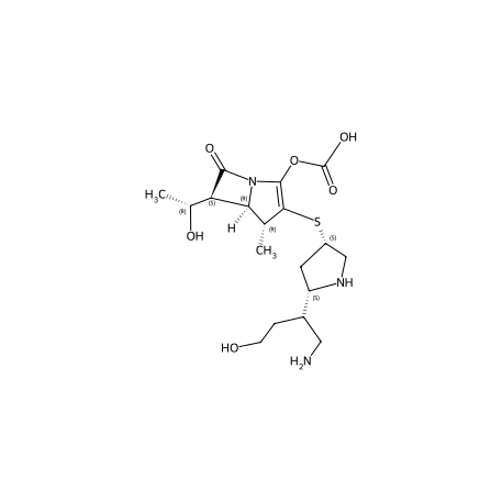 C[C@@H](O)[C@H]1C(=O)N2C(OC(=O)O)=C(S[C@@H]3CN[C@H](C(CN)CCO)C3)[C@H](C)[C@@H]12